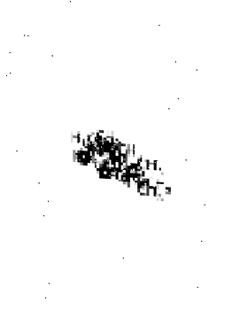 CCCC(NC(=O)C1[C@H]2CCC[C@H]2CN1C(=O)C(NC(=O)[C@H](NC(=O)c1cnccn1)C(C)C)C(C)C)C(=O)C(=O)N[C@H](C)CC